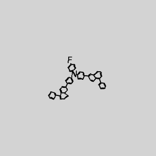 Fc1ccc(N(c2ccc(C3=CC=C4C(c5ccccc5)=CC=CC4C3)cc2)c2ccc(-c3ccc4c(-c5ccccc5)cccc4c3)cc2)cc1